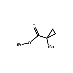 CC(C)OC(=O)C1(C(C)(C)C)CC1